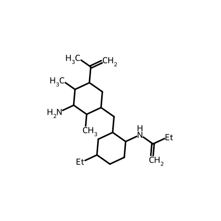 C=C(CC)NC1CCC(CC)CC1CC1CC(C(=C)C)C(C)C(N)C1C